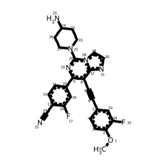 COc1ccc(C#Cc2c(-c3ccc(C#N)c(F)c3)nc(N3CCC(N)CC3)n3ccnc23)cc1F